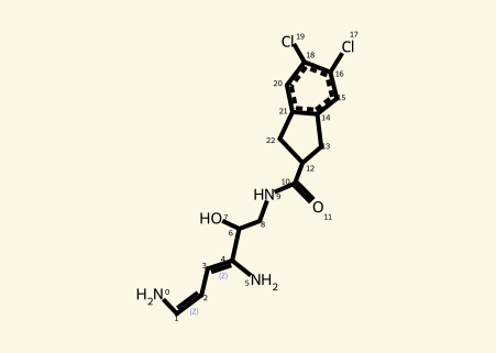 N/C=C\C=C(/N)C(O)CNC(=O)C1Cc2cc(Cl)c(Cl)cc2C1